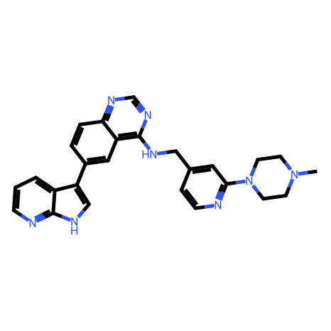 CN1CCN(c2cc(CNc3ncnc4ccc(-c5c[nH]c6ncccc56)cc34)ccn2)CC1